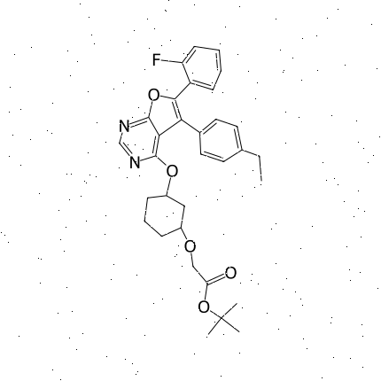 CCc1ccc(-c2c(-c3ccccc3F)oc3ncnc(OC4CCCC(OCC(=O)OC(C)(C)C)C4)c23)cc1